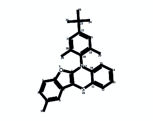 Cc1ccc2oc3c(c2c1)Sc1ccccc1N3c1c(C)cc(C(C)(C)C)cc1C